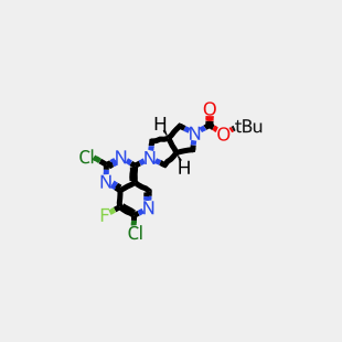 CC(C)(C)OC(=O)N1C[C@@H]2CN(c3nc(Cl)nc4c(F)c(Cl)ncc34)C[C@@H]2C1